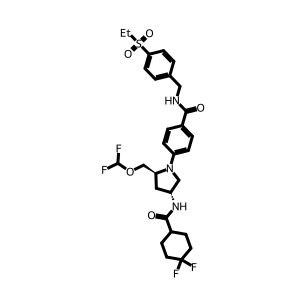 CCS(=O)(=O)c1ccc(CNC(=O)c2ccc(N3C[C@H](NC(=O)C4CCC(F)(F)CC4)C[C@H]3COC(F)F)cc2)cc1